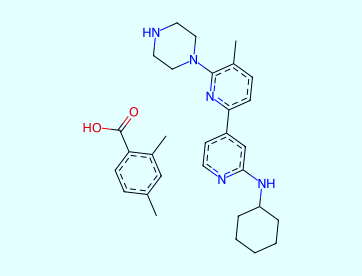 Cc1ccc(-c2ccnc(NC3CCCCC3)c2)nc1N1CCNCC1.Cc1ccc(C(=O)O)c(C)c1